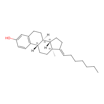 CCCCCCC=C1CC[C@H]2[C@@H]3CCc4cc(O)ccc4[C@H]3CC[C@]12C